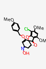 COc1ccc(COC2=C/C(=N/O)C[C@@H](C)[C@]23Oc2c(Cl)c(OC)cc(OC)c2C3=O)cc1